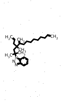 C=CCCCCCCCC(=C)C(C)(CC=C)CC(C)(C)n1nnc2ccccc21